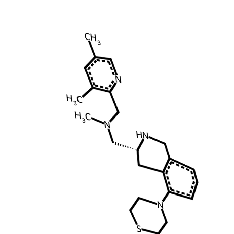 Cc1cnc(CN(C)C[C@H]2Cc3c(cccc3N3CCSCC3)CN2)c(C)c1